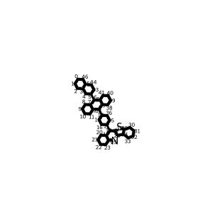 c1ccc2cc(-c3c4ccccc4c(-c4ccc(-c5c6ccccc6nc6c5sc5ccccc56)cc4)c4ccccc34)ccc2c1